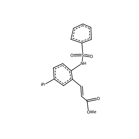 COC(=O)C=Cc1cc(C(C)C)ccc1NS(=O)(=O)c1ccccc1